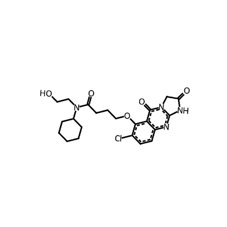 O=C1Cn2c(nc3ccc(Cl)c(OCCCC(=O)N(CCO)C4CCCCC4)c3c2=O)N1